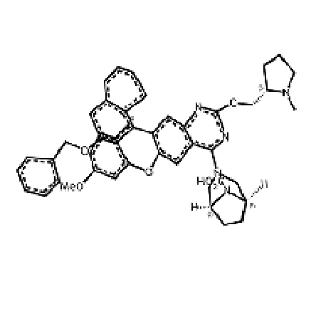 COc1ccc(F)c(Oc2cc3c(N4C[C@H]5CC[C@@H](C4)N5C(=O)O)nc(OC[C@@H]4CCCN4C)nc3cc2-c2cc(OCc3ccccc3)cc3ccccc23)c1